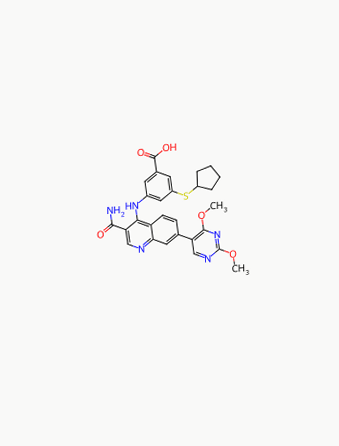 COc1ncc(-c2ccc3c(Nc4cc(SC5CCCC5)cc(C(=O)O)c4)c(C(N)=O)cnc3c2)c(OC)n1